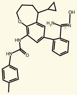 Cc1ccc(NC(=O)Nc2cc(-c3ccccc3/C(N)=N/O)cc3c2OCCCC3C2CC2)cc1